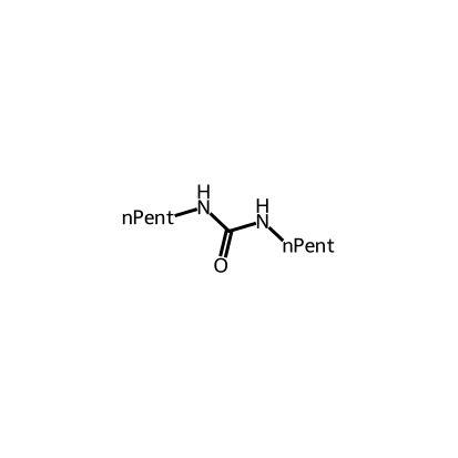 CCCCCNC(=O)NCCCCC